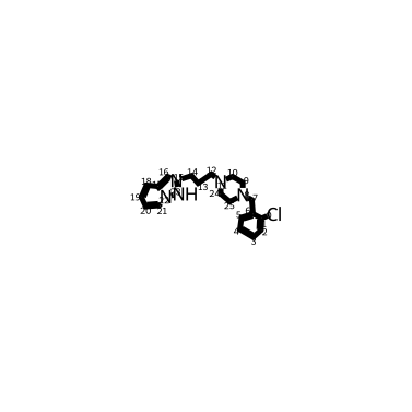 Clc1ccccc1CN1CCN(CCCN2C=C3C=CC=CN3N2)CC1